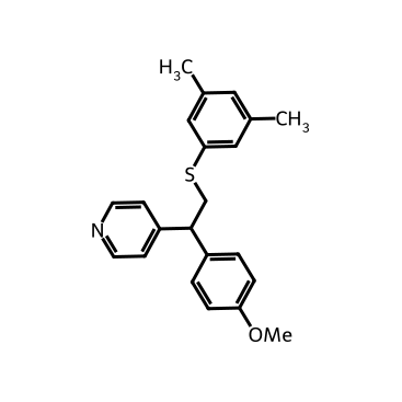 COc1ccc(C(CSc2cc(C)cc(C)c2)c2ccncc2)cc1